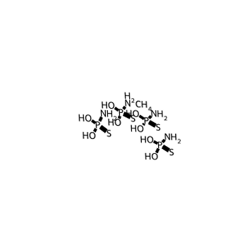 C.NP(O)(O)=S.NP(O)(O)=S.NP(O)(O)=S.NP(O)(O)=S